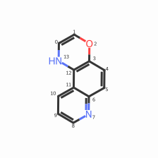 C1=COc2ccc3ncccc3c2N1